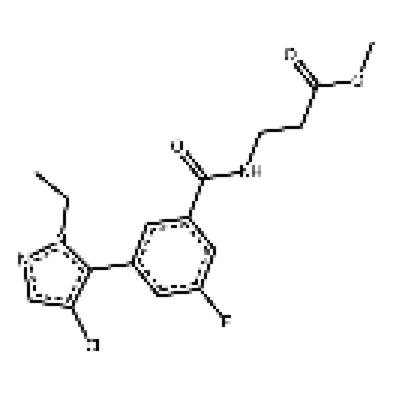 CCn1ncc(Cl)c1-c1cc(F)cc(C(=O)NCCC(=O)OC)c1